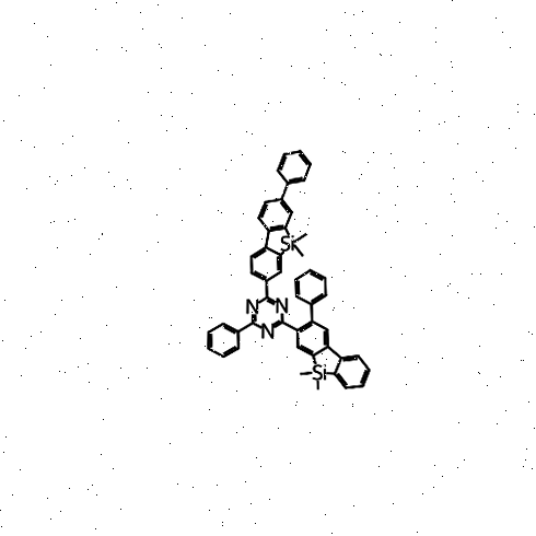 C[Si]1(C)c2cc(-c3ccccc3)ccc2-c2ccc(-c3nc(-c4ccccc4)nc(-c4cc5c(cc4-c4ccccc4)-c4ccccc4[Si]5(C)C)n3)cc21